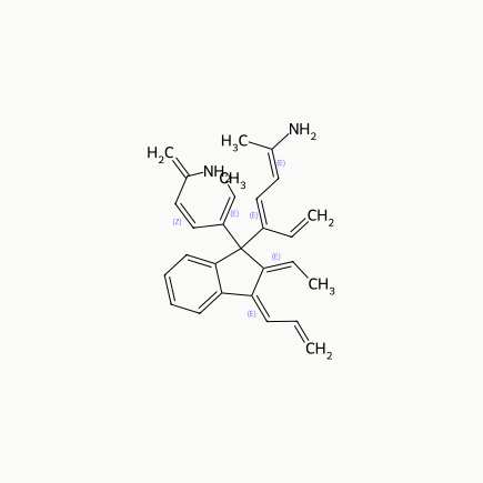 C=C/C=C1\C(=C/C)C(/C(C=C)=C/C=C(\C)N)(C(/C=C\C(=C)N)=C/C)c2ccccc21